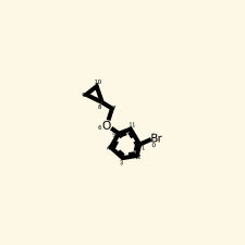 Brc1[c]ccc(OCC2CC2)c1